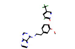 COc1cc(CCNc2ncnc3nccnc23)ccc1Oc1ncc(C(F)(F)F)cc1F